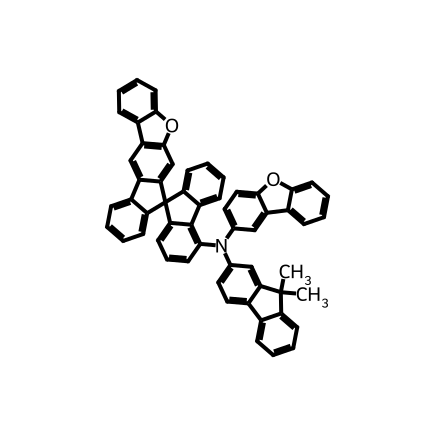 CC1(C)c2ccccc2-c2ccc(N(c3ccc4oc5ccccc5c4c3)c3cccc4c3-c3ccccc3C43c4ccccc4-c4cc5c(cc43)oc3ccccc35)cc21